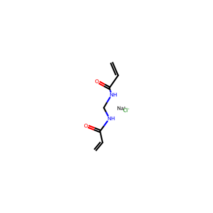 C=CC(=O)NCNC(=O)C=C.[Cl-].[Na+]